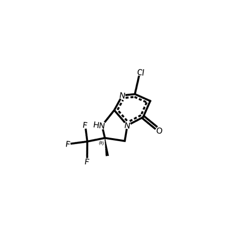 C[C@]1(C(F)(F)F)Cn2c(nc(Cl)cc2=O)N1